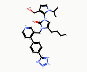 CCCCc1cn(-c2c(CO)ccn2C(C)C)c(=O)n1Cc1cnccc1-c1ccc(-c2nnn[nH]2)cc1